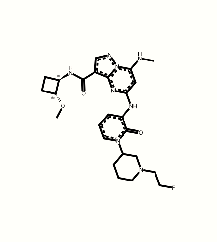 CNc1cc(Nc2cccn(C3CCCN(CCF)C3)c2=O)nc2c(C(=O)N[C@@H]3CC[C@H]3OC)cnn12